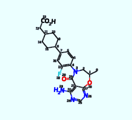 CC1CN(c2ccc(C3CCC(CC(=O)O)CC3)cc2F)C(=O)c2c(N)ncnc2O1